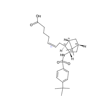 CC(C)(C)c1ccc(S(=O)(=O)N[C@H]2C[C@H]3C[C@@H]([C@@H]2C/C=C\CCCC(=O)O)C3(C)C)cc1